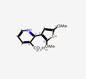 COc1cc(-c2ncccc2C(=O)O)c(OC)s1